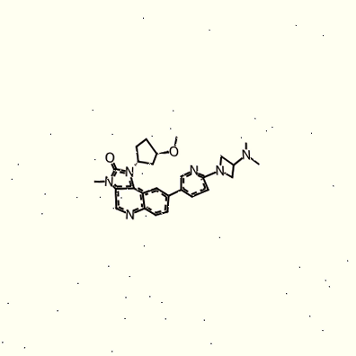 CO[C@@H]1CC[C@@H](n2c(=O)n(C)c3cnc4ccc(-c5ccc(N6CC(N(C)C)C6)nc5)cc4c32)C1